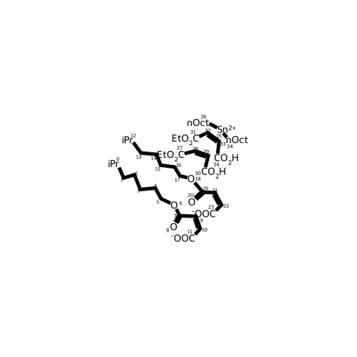 CC(C)CCCCCOC(=O)/C=C\C(=O)[O-].CC(C)CCCCCOC(=O)/C=C\C(=O)[O-].CCCCCCC[CH2][Sn+2][CH2]CCCCCCC.CCOC(=O)/C=C\C(=O)O.CCOC(=O)/C=C\C(=O)O